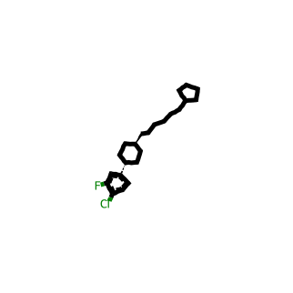 Fc1cc([C@H]2CC[C@H](CCCCCCC3CCCC3)CC2)ccc1Cl